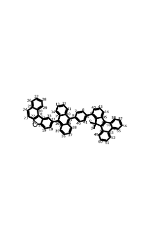 CC1(C)c2c(-c3ccc(-c4c5ccccc5c(-c5ccc6oc7ccc8ccccc8c7c6c5)c5ccccc45)cc3)cccc2-c2c1c1ccccc1c1ccccc21